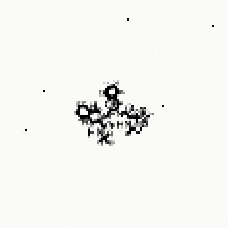 CC(=O)N[C@H](C(=O)NC(Cc1ccccc1)C(O)CN1C[C@H]2CCCC[C@H]2CC1C(=O)NC(C)(C)C)C(C)(C)S(C)(=O)=O